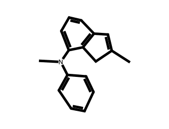 CC1=Cc2cccc(N(C)c3ccccc3)c2C1